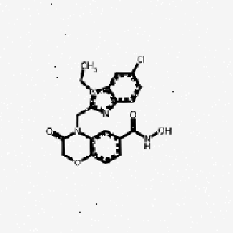 CCn1c(CN2C(=O)COc3ccc(C(=O)NO)cc32)nc2ccc(Cl)cc21